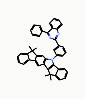 CC1(C)c2ccccc2-c2cc3c4c(n(-c5cccc(-c6nc(-c7ccccc7)c7ccccc7n6)c5)c3cc21)-c1ccccc1C4(C)C